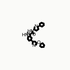 O=C(Nc1ccc(-c2ccccc2)nc1)c1n[nH]c2ccc(-c3cncc(Oc4ccccc4)c3)cc12